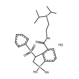 CC(C)N(CCNC(=O)c1cccc2c1C(S(=O)(=O)c1ccccc1)CS2(O)O)C(C)C.Cl